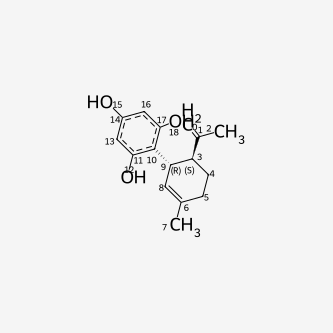 C=C(C)[C@H]1CCC(C)=C[C@@H]1c1c(O)cc(O)cc1O